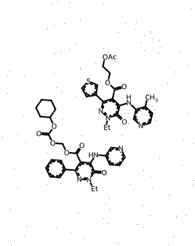 CCn1nc(-c2ccccc2)c(C(=O)OCOC(=O)OC2CCCCC2)c(Nc2cccnc2)c1=O.CCn1nc(-c2ccsc2)c(C(=O)OCCOC(C)=O)c(Nc2cnccc2C)c1=O